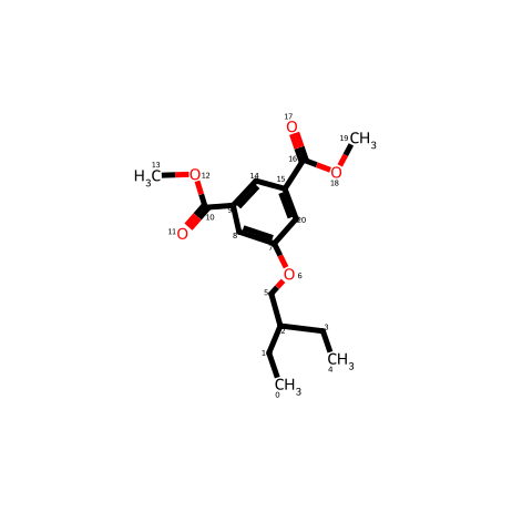 CCC(CC)COc1cc(C(=O)OC)cc(C(=O)OC)c1